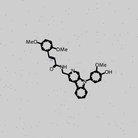 COc1ccc(OC)c(/C=C/C(=O)NCc2cc3c4ccccc4n(-c4ccc(O)c(OC)c4)c3cn2)c1